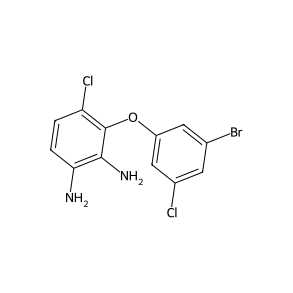 Nc1ccc(Cl)c(Oc2cc(Cl)cc(Br)c2)c1N